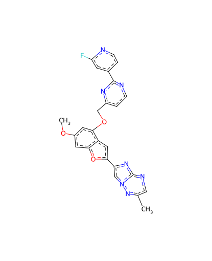 COc1cc(OCc2ccnc(-c3ccnc(F)c3)n2)c2cc(-c3cn4nc(C)cnc4n3)oc2c1